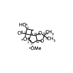 CO[C@@H]1C[C@@]2(CC(O)[C@@]2(C)Cl)C2OC(C)(C)OC21